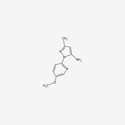 COc1ccc(-n2nc(C)cc2N)nc1